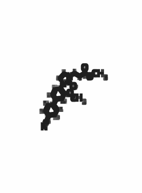 COC(=O)CCN1CCN(c2ccc(-c3ccc(C#N)cc3)cc2OC)C1=O